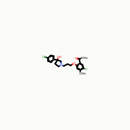 CNC(=O)c1cc(Cl)c(OC)cc1OCCCN1CCC(O)(c2ccc(Cl)cc2)C1